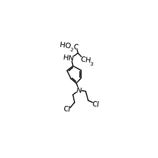 CC(Nc1ccc(N(CCCl)CCCl)cc1)C(=O)O